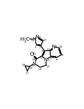 Cn1cc(-c2c3n(c4cccnc24)CCN(C2CC2)C3=O)cn1